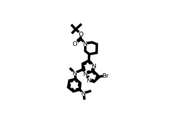 CN(C)c1cccc(N(C)c2cc(C3CCCN(C(=O)OC(C)(C)C)C3)nc3c(Br)cnn23)c1